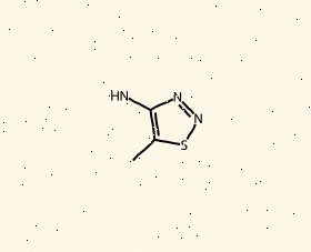 Cc1snnc1[NH]